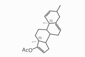 CC(=O)OC1=CCC2C3CC=C4CC(C)C=C[C@]4(C)C3CC[C@]12C